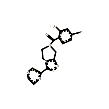 Cc1cc(Cl)ccc1C(=O)N1CCn2c(nnc2-c2cnccn2)C1